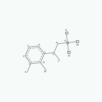 Cc1cccc(C(C)C[Si](Cl)(Cl)Cl)c1C